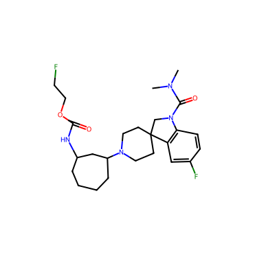 CN(C)C(=O)N1CC2(CCN(C3CCCCC(NC(=O)OCCF)C3)CC2)c2cc(F)ccc21